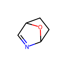 C1=NC2CCC1O2